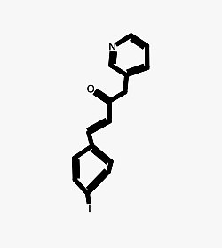 O=C(C=Cc1ccc(I)cc1)Cc1cccnc1